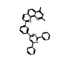 Cc1cc(C)c2ccc3ccc(-c4cccc(-c5cc(-c6ccccc6)nc(-c6ccccc6)n5)c4)nc3c2n1